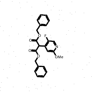 COc1cc(C(C(=O)OCc2ccccc2)C(=O)OCc2ccccc2)c(F)cn1